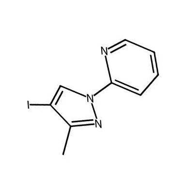 Cc1nn(-c2ccccn2)cc1I